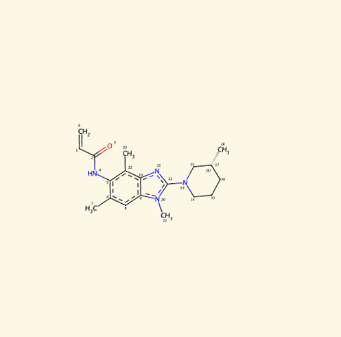 C=CC(=O)Nc1c(C)cc2c(nc(N3CCC[C@@H](C)C3)n2C)c1C